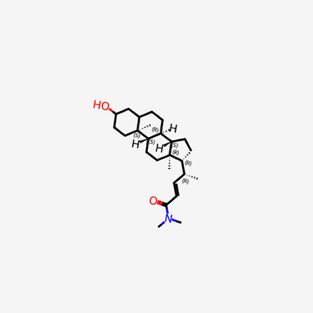 C[C@H](C=CC(=O)N(C)C)[C@H]1CC[C@H]2[C@@H]3CCC4CC(O)CC[C@]4(C)[C@H]3CC[C@]12C